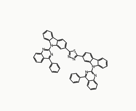 c1ccc(-c2nc(-n3c4ccccc4c4ccc(-c5nnc(-c6ccc7c8ccccc8n(-c8nc(-c9ccccc9)c9ccccc9n8)c7c6)s5)cc43)nc3ccccc23)cc1